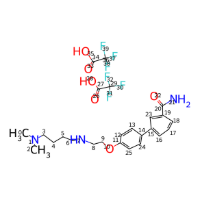 CN(C)CCCCNCCOc1ccc(-c2cccc(C(N)=O)c2)cc1.O=C(O)C(F)(F)F.O=C(O)C(F)(F)F